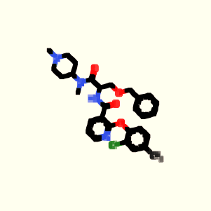 CN1CCC(N(C)C(=O)C(COCc2ccccc2)NC(=O)c2cccnc2Oc2ccc(C(F)(F)F)cc2Cl)CC1